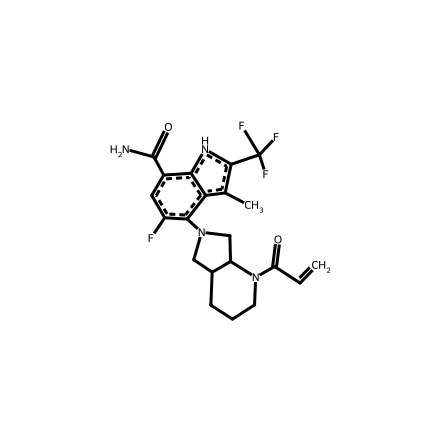 C=CC(=O)N1CCCC2CN(c3c(F)cc(C(N)=O)c4[nH]c(C(F)(F)F)c(C)c34)CC21